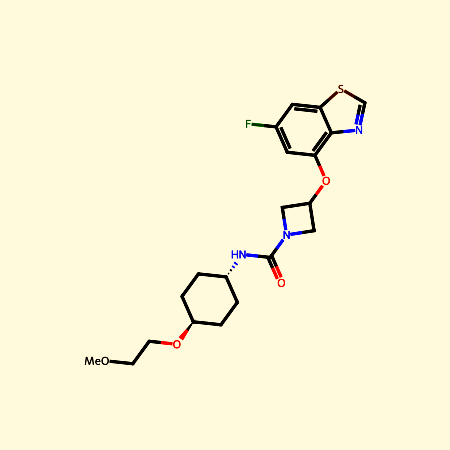 COCCO[C@H]1CC[C@H](NC(=O)N2CC(Oc3cc(F)cc4scnc34)C2)CC1